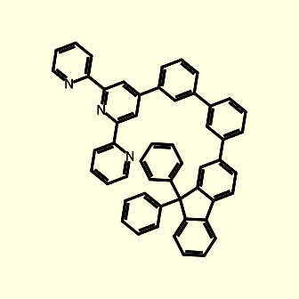 c1ccc(C2(c3ccccc3)c3ccccc3-c3ccc(-c4cccc(-c5cccc(-c6cc(-c7ccccn7)nc(-c7ccccn7)c6)c5)c4)cc32)cc1